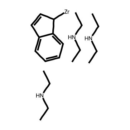 CCNCC.CCNCC.CCNCC.[Zr][CH]1C=Cc2ccccc21